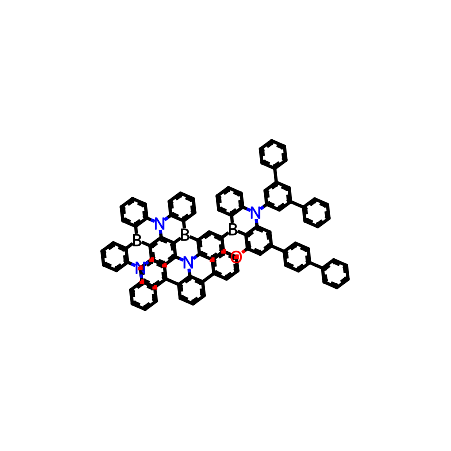 c1ccc(-c2ccc(-c3cc4c5c(c3)N(c3cc(-c6ccccc6)cc(-c6ccccc6)c3)c3ccccc3B5c3cc5c(cc3O4)N(c3c(-c4ccccc4)cccc3-c3ccccc3)c3cc4c6c7c3B5c3ccccc3N7c3ccccc3B6c3ccccc3N4c3ccccc3)cc2)cc1